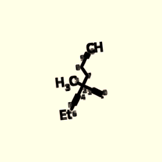 [C]#CC(C)(C#CCC)CCC#C